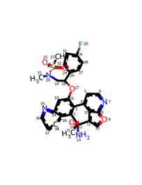 CCc1c(-c2ccnc3occ(C(N)=O)c23)c(OC(CN(C)S(C)(=O)=O)c2ccc(F)cc2)cc2ncccc12